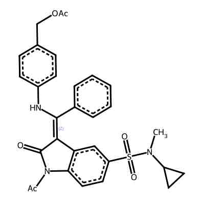 CC(=O)OCc1ccc(N/C(=C2\C(=O)N(C(C)=O)c3ccc(S(=O)(=O)N(C)C4CC4)cc32)c2ccccc2)cc1